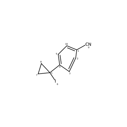 N#Cc1ccc(C2(I)CC2)cc1